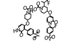 CC(C1CC(Oc2ccn(-c3ccc(S(C)(=O)=O)cc3F)c(=O)c2)CCN1C(=O)O)C(F)(F)F.CS(=O)(=O)c1ccc(-c2c(OC3CCN(C(=O)O)CC3)cc[nH]c2=O)cc1